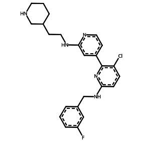 Fc1cccc(CNc2ccc(Cl)c(-c3ccnc(NCCC4CCCNC4)c3)n2)c1